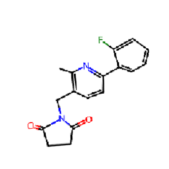 Cc1nc(-c2ccccc2F)ccc1CN1C(=O)CCC1=O